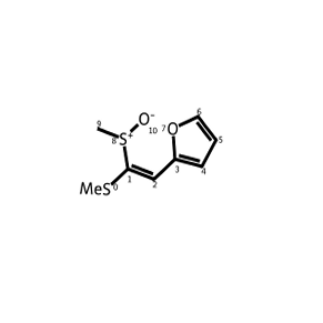 CSC(=Cc1ccco1)[S+](C)[O-]